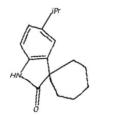 CC(C)c1ccc2c(c1)C1(CCCCC1)C(=O)N2